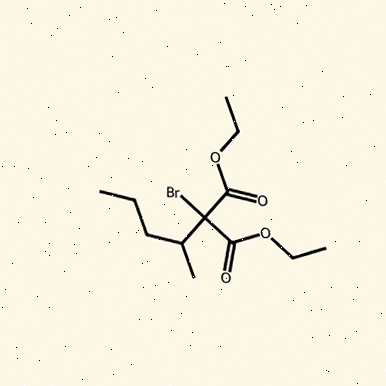 CCCC(C)C(Br)(C(=O)OCC)C(=O)OCC